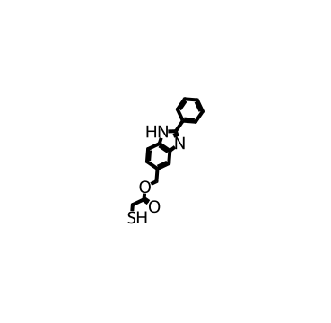 O=C(CS)OCc1ccc2[nH]c(-c3ccccc3)nc2c1